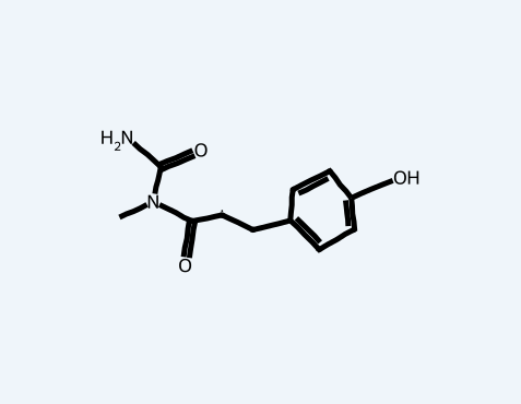 CN(C(N)=O)C(=O)[CH]Cc1ccc(O)cc1